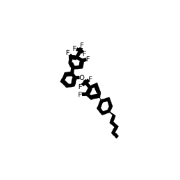 CCCCC[C@H]1CC[C@H](c2ccc(C(F)(F)Oc3ccccc3-c3cc(F)c(C(F)(F)F)c(F)c3)c(F)c2)CC1